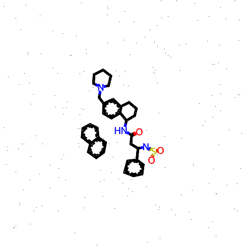 O=C(CC(N=S(=O)=O)c1ccccc1)NC1CCCc2cc(CN3CCCCC3)ccc21.c1ccc2ccccc2c1